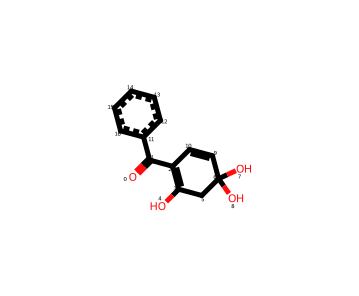 O=C(C1=C(O)CC(O)(O)C=C1)c1ccccc1